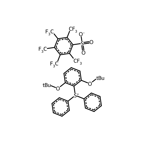 CC(C)(C)Oc1cccc(OC(C)(C)C)c1[S+](c1ccccc1)c1ccccc1.O=S(=O)([O-])c1c(C(F)(F)F)c(C(F)(F)F)c(C(F)(F)F)c(C(F)(F)F)c1C(F)(F)F